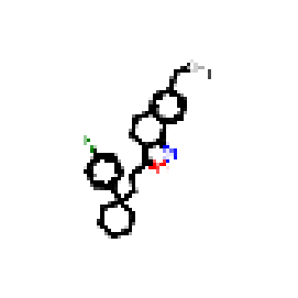 CCc1ccc2c(c1)CCc1c-2noc1CCC1(c2ccc(F)cc2)CCCCC1